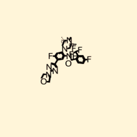 C[C@H]1CN(c2cc(F)c(-c3cnc(N4CCOCC4)nc3)cc2NC(=O)c2ccc(F)cc2C(F)(F)F)C[C@H](C)N1C